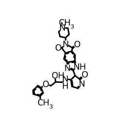 Cc1cccc(OCC(O)CNC2=CC=NC(=O)C2c2nc3cc4c(cc3[nH]2)C(=O)N(C2CCN(C)CC2)C4=O)c1